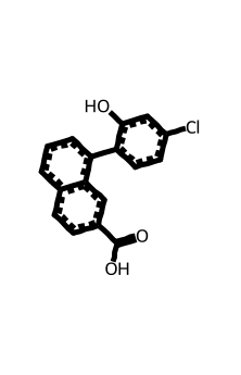 O=C(O)c1ccc2cccc(-c3ccc(Cl)cc3O)c2c1